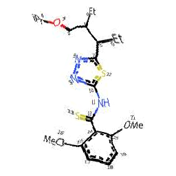 CCC(COC(C)C)C(CC)c1nnc(NC(=S)c2c(OC)cccc2OC)s1